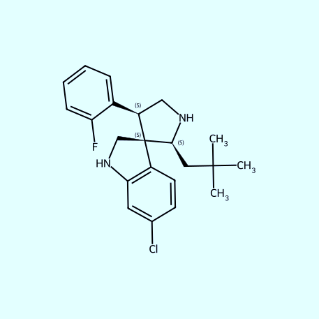 CC(C)(C)C[C@@H]1NC[C@H](c2ccccc2F)[C@]12CNc1cc(Cl)ccc12